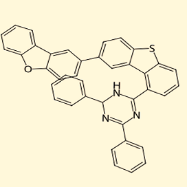 c1ccc(C2=NC(c3ccccc3)NC(c3cccc4sc5ccc(-c6ccc7oc8ccccc8c7c6)cc5c34)=N2)cc1